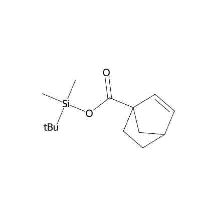 CC(C)(C)[Si](C)(C)OC(=O)C12C=CC(CC1)C2